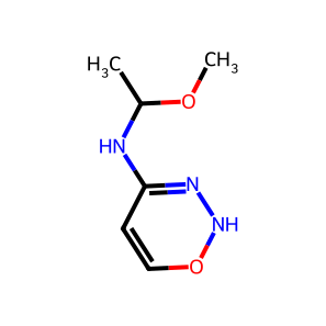 COC(C)NC1=NNOC=C1